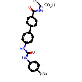 CCCCc1ccc(NC(=O)Nc2ccc(-c3ccc(C(=O)N[C@@H](C(=O)O)C(C)C)cc3)cc2)cc1